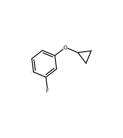 Fc1[c]ccc(OC2CC2)c1